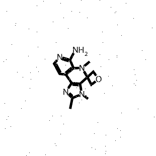 Cc1nc2c(n1C)C1(COC1)N(C)c1c-2ccnc1N